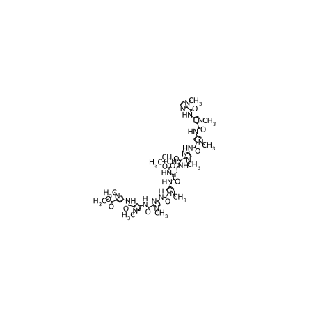 COC(=O)c1cc(NC(=O)c2cc(NC(=O)c3nc(NC(=O)c4cc(NC(=O)[C@H](CCNC(=O)c5nc(NC(=O)c6cc(NC(=O)c7cc(NC(=O)c8nccn8C)cn7C)cn6C)cn5C)NC(=O)OC(C)(C)C)cn4C)cn3C)cn2C)cn1C